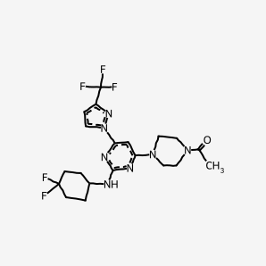 CC(=O)N1CCN(c2cc(-n3ccc(C(F)(F)F)n3)nc(NC3CCC(F)(F)CC3)n2)CC1